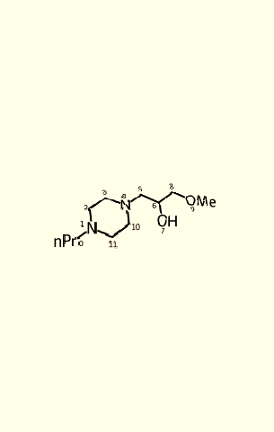 CCCN1CCN(CC(O)COC)CC1